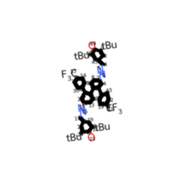 CC(C)(C)C1=CC(=C/N=N/c2ccc(-c3ccc(/N=N/C=C4C=C(C(C)(C)C)C(=O)C(C(C)(C)C)=C4)cc3-c3ccc(C(F)(F)F)cc3)c(-c3ccc(C(F)(F)F)cc3)c2)C=C(C(C)(C)C)C1=O